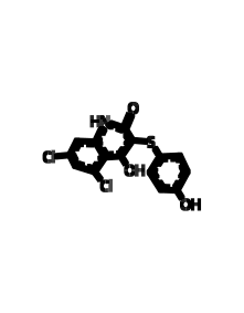 O=c1[nH]c2cc(Cl)cc(Cl)c2c(O)c1Sc1ccc(O)cc1